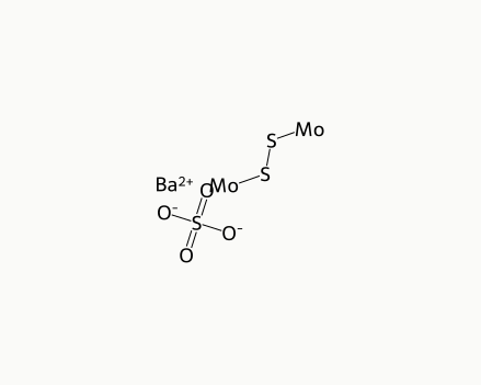 O=S(=O)([O-])[O-].[Ba+2].[Mo][S][S][Mo]